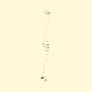 CCOP(=O)(OCC)OCCSCCCCCCCCCCC(=O)O[C@H]1COC2C1OC[C@H]2OC(=O)CCCCCCCCCCSCCOP(=O)(OCC)OCC